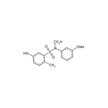 COc1cccc(N(C(=O)O)S(=O)(=O)c2cc(O)ccc2C)c1